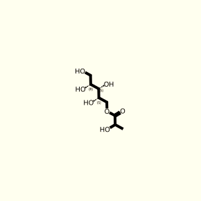 CC(O)C(=O)OC[C@H](O)[C@@H](O)[C@H](O)CO